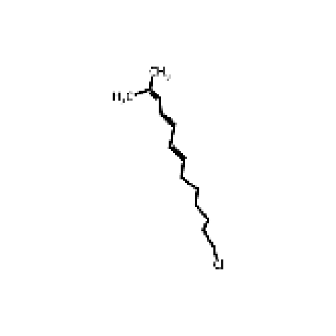 CC(C)=CC=CC=CCCCCCCCl